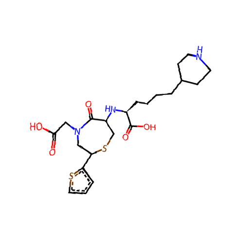 O=C(O)CN1CC(c2cccs2)SCC(N[C@@H](CCCCC2CCNCC2)C(=O)O)C1=O